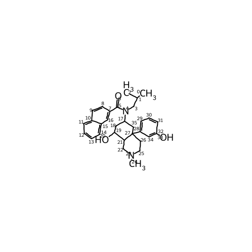 CC(C)CN(C(=O)c1ccc2ccccc2c1)C1CC(O)C2CN(C)CCC2(c2cccc(O)c2)C1